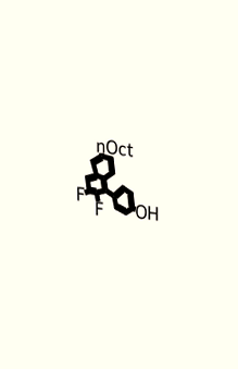 CCCCCCCCc1ccc2c(-c3ccc(O)cc3)c(F)c(F)cc2c1